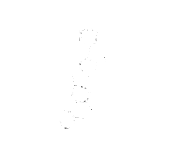 Cc1ccccc1-c1cc2c(cc1C(C)(C)C)-c1cc(C(C)(C)C)c(-c3ccccc3C)cc1C2